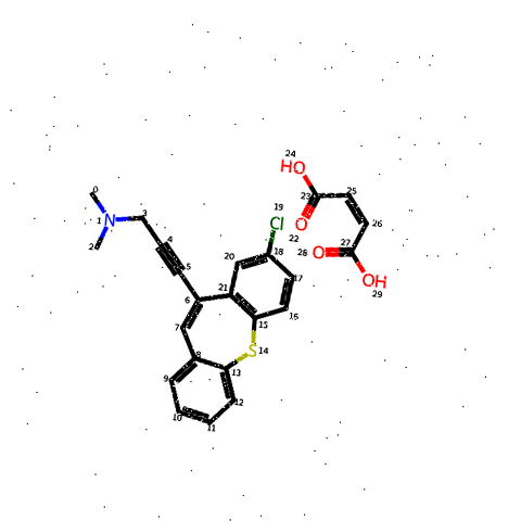 CN(C)CC#CC1=Cc2ccccc2Sc2ccc(Cl)cc21.O=C(O)/C=C\C(=O)O